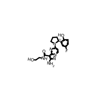 Nc1nn2ccc(N3CCC[C@H]3c3cc(F)ccc3O)nc2c1C(=O)NCCO